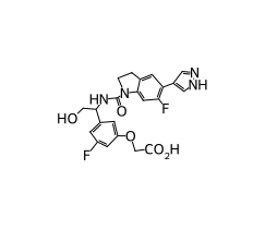 O=C(O)COc1cc(F)cc(C(CO)NC(=O)N2CCc3cc(-c4cn[nH]c4)c(F)cc32)c1